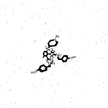 COc1ccc(CNS(=O)(=O)c2c(S(=O)(=O)C3CCN(C(C)=O)CC3)ccc(I)c2-c2nnn(Cc3ccc(OC)cc3)n2)cc1